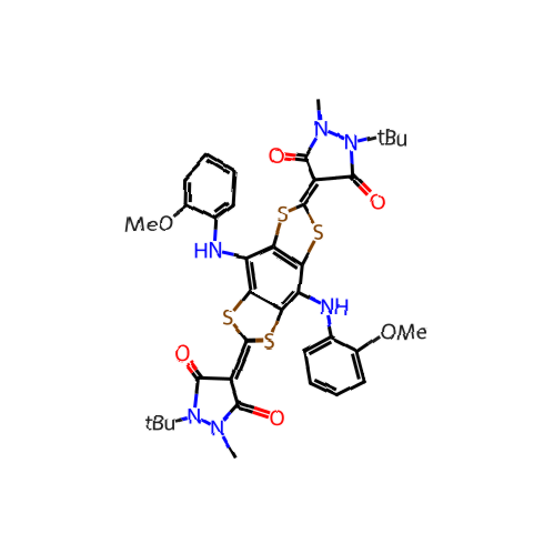 COc1ccccc1Nc1c2c(c(Nc3ccccc3OC)c3c1SC(=C1C(=O)N(C)N(C(C)(C)C)C1=O)S3)SC(=C1C(=O)N(C)N(C(C)(C)C)C1=O)S2